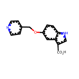 O=C(O)c1c[nH]c2ccc(OCc3ccncc3)cc12